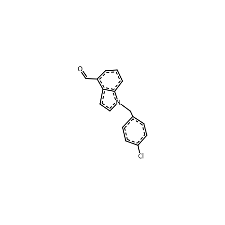 O=Cc1cccc2c1ccn2Cc1ccc(Cl)cc1